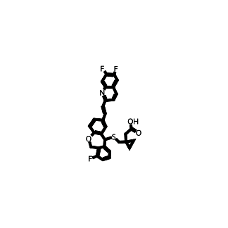 O=C(O)CC1(CSC2c3cc(/C=C/c4ccc5cc(F)c(F)cc5n4)ccc3OCc3c(F)cccc32)CC1